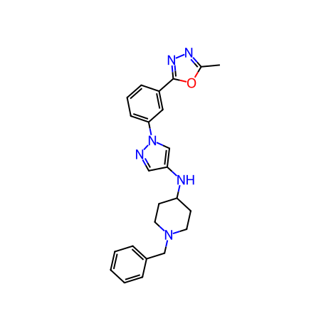 Cc1nnc(-c2cccc(-n3cc(NC4CCN(Cc5ccccc5)CC4)cn3)c2)o1